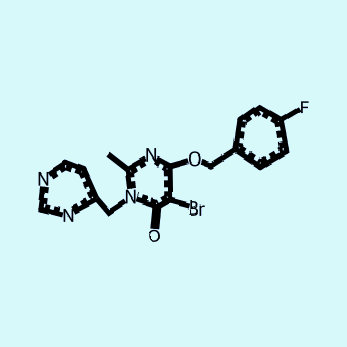 Cc1nc(OCc2ccc(F)cc2)c(Br)c(=O)n1Cc1ccncn1